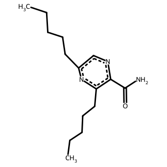 CCCCCc1cnc(C(N)=O)c(CCCCC)n1